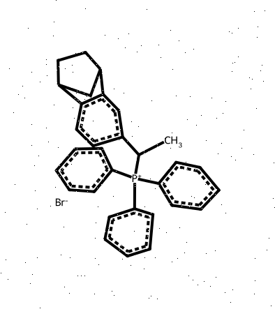 CC(c1ccc2c(c1)C1CCC2C1)[P+](c1ccccc1)(c1ccccc1)c1ccccc1.[Br-]